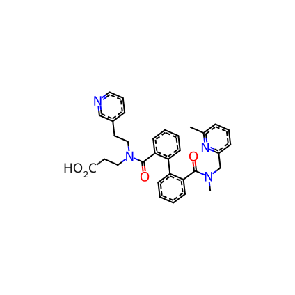 Cc1cccc(CN(C)C(=O)c2ccccc2-c2ccccc2C(=O)N(CCC(=O)O)CCc2cccnc2)n1